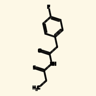 CCC(=S)NC(=O)Cc1ccc(F)cc1